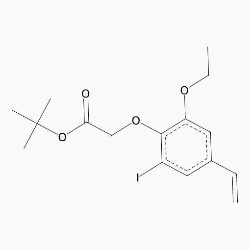 C=Cc1cc(I)c(OCC(=O)OC(C)(C)C)c(OCC)c1